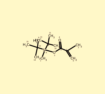 C=C(C)C(=O)O[Si](C)(C(C)(C)C)C(C)(C)C